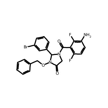 Nc1ccc(F)c(C(=O)N2CC(=O)N(OCc3ccccc3)C2c2cccc(Br)c2)c1F